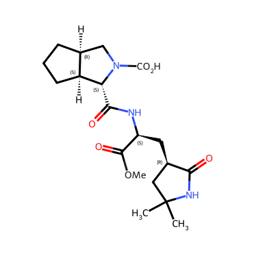 COC(=O)[C@H](C[C@@H]1CC(C)(C)NC1=O)NC(=O)[C@@H]1[C@H]2CCC[C@H]2CN1C(=O)O